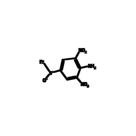 CC[S+]([O-])c1cc([N+](=O)[O-])c(N)c([N+](=O)[O-])c1